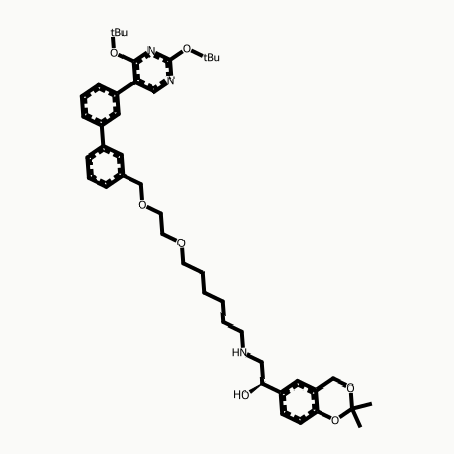 CC(C)(C)Oc1ncc(-c2cccc(-c3cccc(COCCOCCCCCCNC[C@H](O)c4ccc5c(c4)COC(C)(C)O5)c3)c2)c(OC(C)(C)C)n1